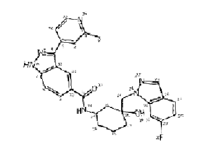 Cc1cc(-c2n[nH]c3ccc(C(=O)NC4CCCC(O)(Cn5ncc6ccc(F)cc65)C4)cc23)ccn1